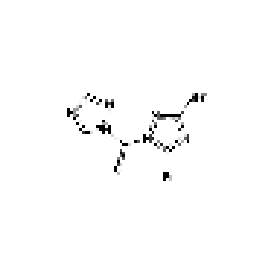 CCc1nc(C(C)C)nn1C(=O)n1cncn1